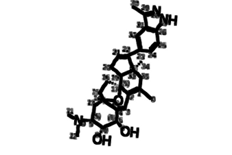 CC1=C2C=C3[C@@H](O)[C@H](O)[C@@H](N(C)C)C[C@]34CC[C@]2(O4)C2CC=C(c3ccc4[nH]nc(C)c4c3)[C@@]2(C)C1